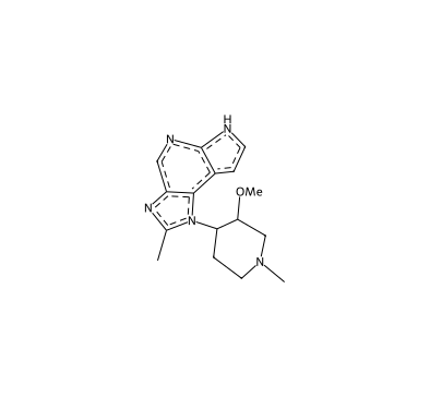 COC1CN(C)CCC1n1c(C)nc2cnc3[nH]ccc3c21